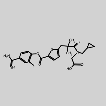 CC(C)(Cc1ccc(C(=O)Oc2ccc(C(=N)N)cc2F)s1)C(=O)N(CC(=O)O)CC1CC1